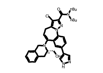 CCCCN(CCCC)C(=O)c1nn2c(c1Cl)CC=C(N1Cc3ccccc3C[C@H]1CO)c1cc(-c3cn[nH]c3)ccc1-2